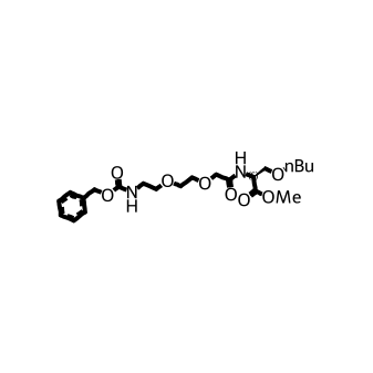 CCCCOC[C@H](NC(=O)COCCOCCNC(=O)OCc1ccccc1)C(=O)OC